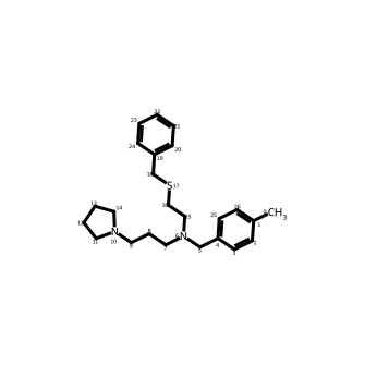 Cc1ccc(CN(CCCN2CCCC2)CCSCc2ccccc2)cc1